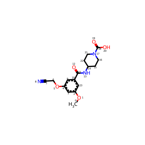 COc1cc(OCC#N)cc(C(=O)NC2CCN(C(=O)O)CC2)c1